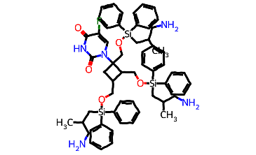 CC(CN)C[Si](OCC1CC(CO[Si](CC(C)CN)(c2ccccc2)c2ccccc2)(n2cc(F)c(=O)[nH]c2=O)C1CO[Si](CC(C)CN)(c1ccccc1)c1ccccc1)(c1ccccc1)c1ccccc1